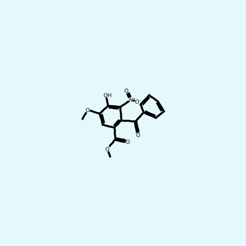 COC(=O)c1cc(OC)c(O)c([N+](=O)[O-])c1C(=O)c1ccccc1